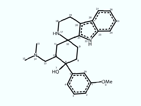 COc1cccc(C2(O)CCC3(CC2CN(C)C)NCCc2c3[nH]c3ccccc23)c1